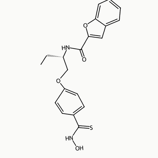 CC[C@@H](COc1ccc(C(=S)NO)cc1)NC(=O)c1cc2ccccc2o1